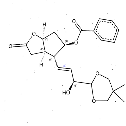 CC1(C)COC([C@@H](O)/C=C/[C@@H]2[C@H]3CC(=O)O[C@H]3C[C@H]2OC(=O)c2ccccc2)OC1